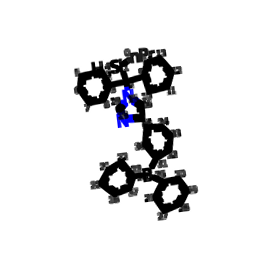 CCC[SiH2]C(c1ccccc1)(c1ccccc1)n1ccnc1.c1ccc(B(c2ccccc2)c2ccccc2)cc1